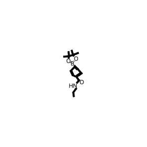 CCCNC(=O)c1ccc(B2OC(C)(C)C(C)(C)O2)cc1